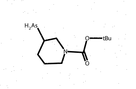 CC(C)(C)OC(=O)N1CCCC([AsH2])C1